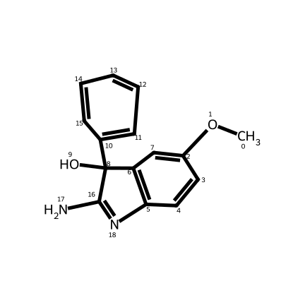 COc1ccc2c(c1)C(O)(c1ccccc1)C(N)=N2